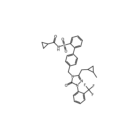 CC1CC1Cc1nn(-c2ccccc2C(F)(F)F)c(=O)n1Cc1ccc(-c2ccccc2S(=O)(=O)NC(=O)C2CC2)cc1